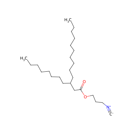 [C-]#[N+]CCCOC(=O)CC(CCCCCCCC)CCCCCCCCCC